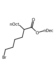 CCCCCCCCCCOC(=O)C(CCCCBr)CCCCCCCC